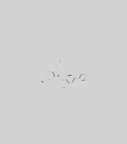 Cn1cc(-c2ccc3c(c2)CCCN3c2nn(C3CCCCO3)c3c2CN(C=O)CC3)cn1